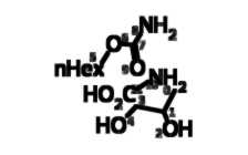 CC(O)CO.CCCCCCOC(N)=O.NC(=O)O